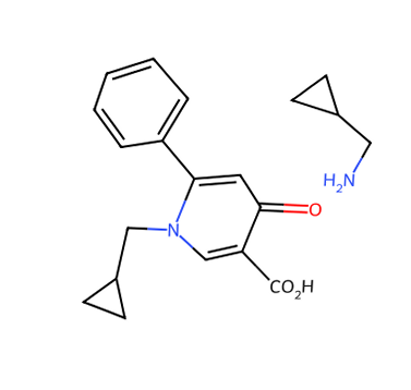 NCC1CC1.O=C(O)c1cn(CC2CC2)c(-c2ccccc2)cc1=O